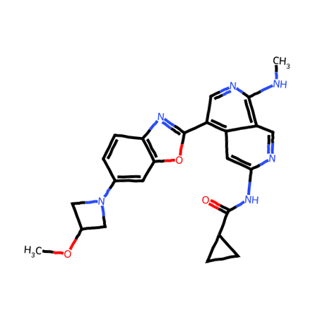 CNc1ncc(-c2nc3ccc(N4CC(OC)C4)cc3o2)c2cc(NC(=O)C3CC3)ncc12